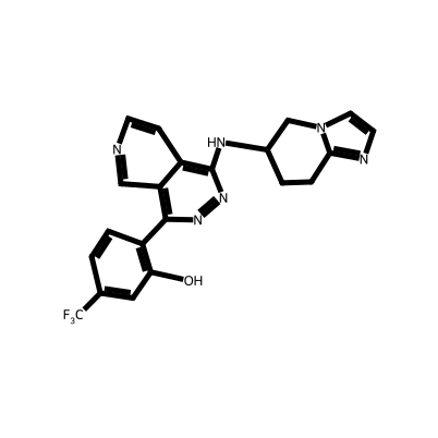 Oc1cc(C(F)(F)F)ccc1-c1nnc(NC2CCc3nccn3C2)c2ccncc12